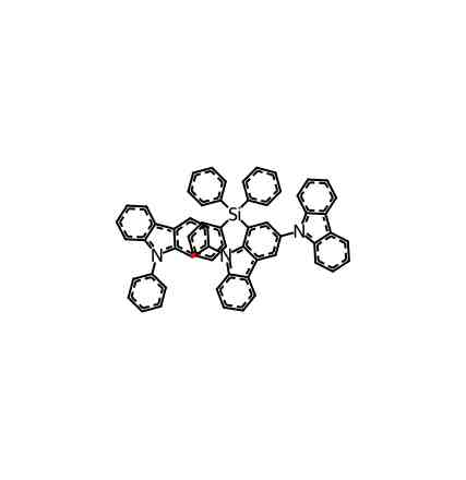 c1ccc(-n2c3ccccc3c3ccc(-n4c5ccccc5c5cc(-n6c7ccccc7c7ccccc76)cc([Si](c6ccccc6)(c6ccccc6)c6ccccc6)c54)cc32)cc1